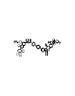 COc1cc([C@H](O)CCN2CCN(c3ccc(-c4cnc5[nH]cc(C(=O)c6c(F)ccc(NS(=O)(=O)N7CC[C@@H](F)C7)c6F)c5c4)cc3)CC2)cc2c1C(=O)N(C1CCC(=O)NC1=O)C2